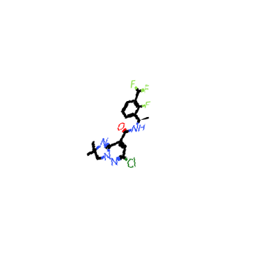 C[C@@H](NC(=O)C1=CC(Cl)=NN2CC(C)(C)N=C12)c1cccc(C(F)F)c1F